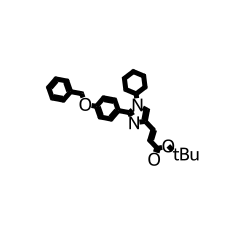 CC(C)(C)OC(=O)C=Cc1cn(C2CCCCC2)c(-c2ccc(OCc3ccccc3)cc2)n1